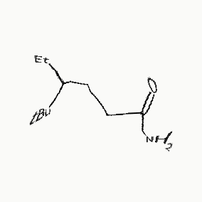 CCC(CCC(N)=O)C(C)(C)C